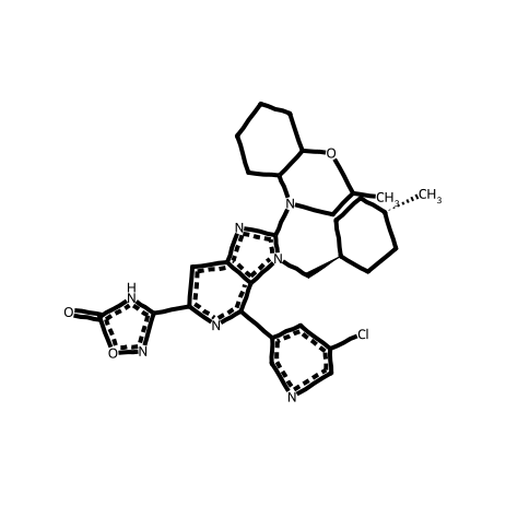 CC1CN(c2nc3cc(-c4noc(=O)[nH]4)nc(-c4cncc(Cl)c4)c3n2C[C@H]2CC[C@H](C)CC2)C2CCCCC2O1